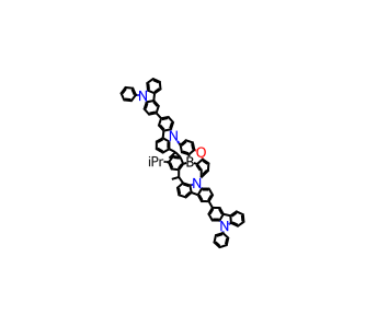 CC(C)c1cc2c3c(c1)C(C)c1cccc4c5cc(-c6ccc7c(c6)c6ccccc6n7-c6ccccc6)ccc5n(c14)-c1ccc4c(c1)B3c1cc(ccc1O4)-n1c3ccc(-c4ccc5c(c4)c4ccccc4n5-c4ccccc4)cc3c3cccc(c31)C2C